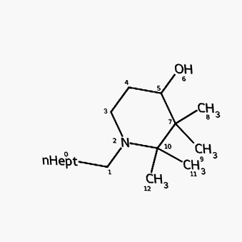 CCCCCCCCN1CCC(O)C(C)(C)C1(C)C